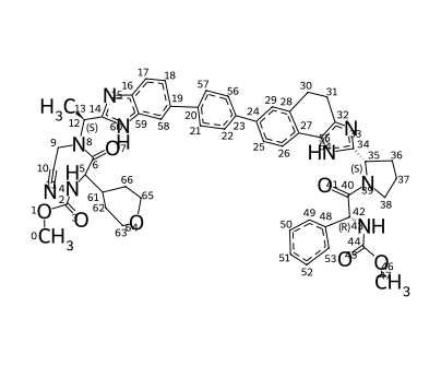 COC(=O)NC(C(=O)N(CC#N)[C@@H](C)c1nc2ccc(-c3ccc(-c4ccc5c(c4)CCc4nc([C@@H]6CCCN6C(=O)[C@H](NC(=O)OC)c6ccccc6)[nH]c4-5)cc3)cc2[nH]1)C1CCOCC1